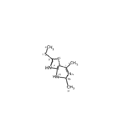 CSC1NC2=C(S1)C(C)=NC(C)N2